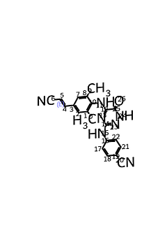 Cc1cc(/C=C/C#N)cc(C)c1Nc1nc(Nc2ccc(C#N)cc2)n[nH]c1=O